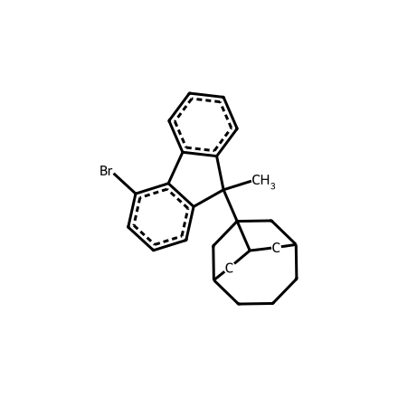 CC1(C2CC3CCCC(CCC3)C2)c2ccccc2-c2c(Br)cccc21